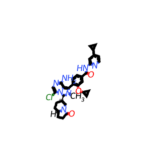 CN1C(c2ccc(C(=O)Nc3cc(C4CC4)ccn3)cc2OC2CC2)=C2C(N)=NC=C(Cl)N2C1[C@@H]1CC[C@H]2CCC(=O)N2C1